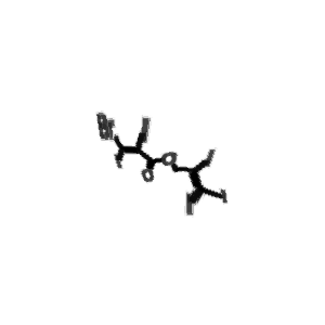 O=C(OCC(I)=C(I)I)C(I)=C(Br)I